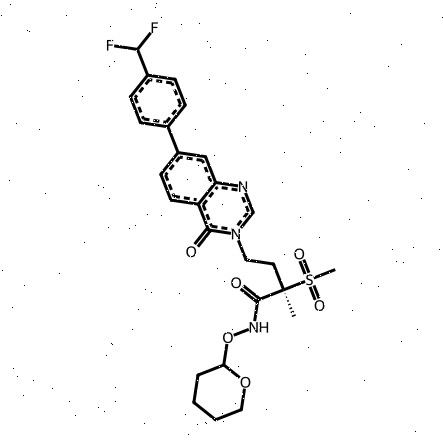 C[C@@](CCn1cnc2cc(-c3ccc(C(F)F)cc3)ccc2c1=O)(C(=O)NOC1CCCCO1)S(C)(=O)=O